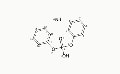 O=P(O)(Oc1ccccc1)Oc1ccccc1.[Nd]